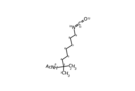 CC(=O)NC(C)(C)CCCCCCN=C=O